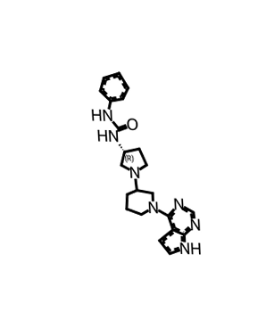 O=C(Nc1ccccc1)N[C@@H]1CCN(C2CCCN(c3ncnc4[nH]ccc34)C2)C1